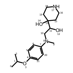 CC(C)Oc1ccc(N(C)CC(O)C2(O)CCNCC2)cc1